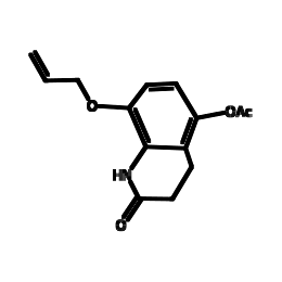 C=CCOc1ccc(OC(C)=O)c2c1NC(=O)CC2